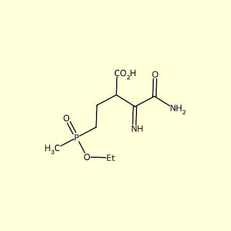 CCOP(C)(=O)CCC(C(=N)C(N)=O)C(=O)O